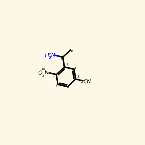 CC(N)c1cc(C#N)ccc1[N+](=O)[O-]